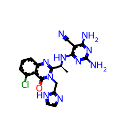 C[C@H](Nc1nc(N)nc(N)c1C#N)c1nc2cccc(Cl)c2c(=O)n1Cc1ncc[nH]1